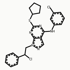 Clc1cccc(Nc2nc(SC3CCCC3)nc3c2cnn3CC(Cl)c2ccccc2)c1